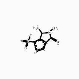 CC1c2c(csc2S(=O)(=O)Cl)C(=O)N1C